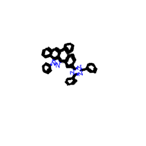 c1ccc(-c2nc(-c3ccccc3)nc(-c3cccc(-c4nn(-c5ccccc5)c5c4c(-c4ccccc4)cc4ccccc45)c3)n2)cc1